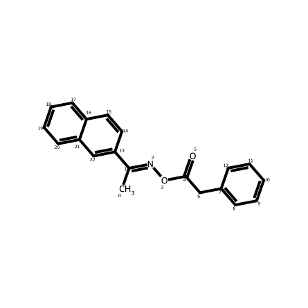 CC(=NOC(=O)Cc1ccccc1)c1ccc2ccccc2c1